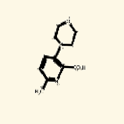 Cc1ccc(N2CCOCC2)c(C(=O)O)n1